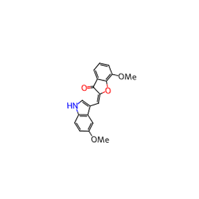 COc1ccc2[nH]cc(/C=C3/Oc4c(OC)cccc4C3=O)c2c1